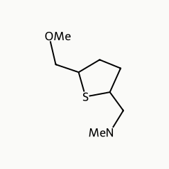 CNCC1CCC(COC)S1